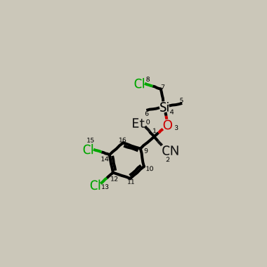 CCC(C#N)(O[Si](C)(C)CCl)c1ccc(Cl)c(Cl)c1